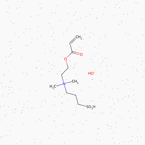 C=CC(=O)OCC[N+](C)(C)CCCS(=O)(=O)O.[OH-]